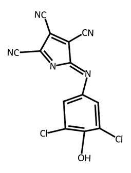 N#CC1=N/C(=N\c2cc(Cl)c(O)c(Cl)c2)C(C#N)=C1C#N